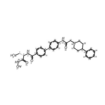 NC[C@H](NC(=O)c1ccc(-c2ccc(NC(=O)CN3CCC(c4ccccc4)CC3)cc2)cc1)C(=O)NO